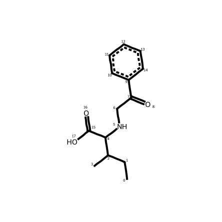 CCC(C)C(NCC(=O)c1ccccc1)C(=O)O